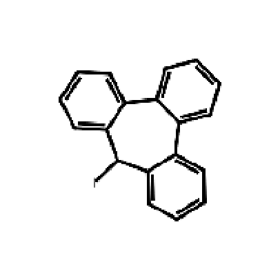 IC1c2ccccc2-c2ccccc2-c2ccccc21